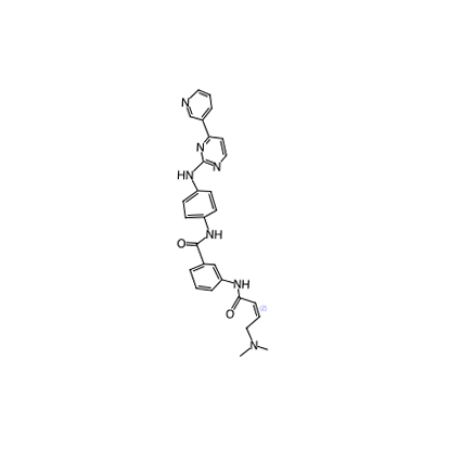 CN(C)C/C=C\C(=O)Nc1cccc(C(=O)Nc2ccc(Nc3nccc(-c4cccnc4)n3)cc2)c1